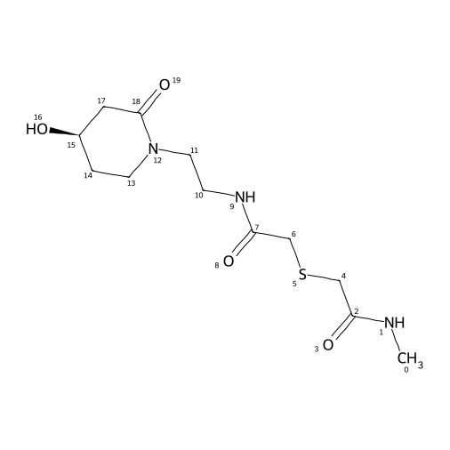 CNC(=O)CSCC(=O)NCCN1CC[C@@H](O)CC1=O